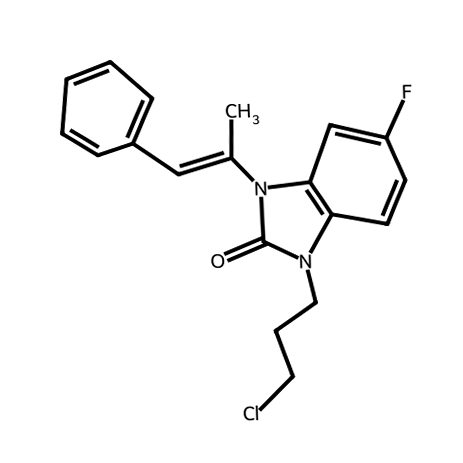 CC(=Cc1ccccc1)n1c(=O)n(CCCCl)c2ccc(F)cc21